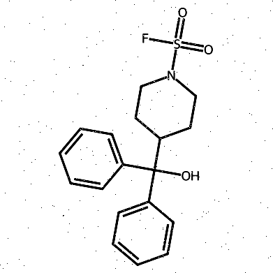 O=S(=O)(F)N1CCC(C(O)(c2ccccc2)c2ccccc2)CC1